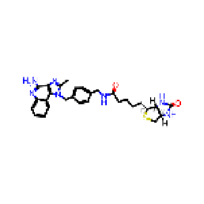 Cc1nc2c(N)nc3ccccc3c2n1Cc1ccc(CNC(=O)CCCC[C@H]2SC[C@H]3NC(=O)N[C@H]32)cc1